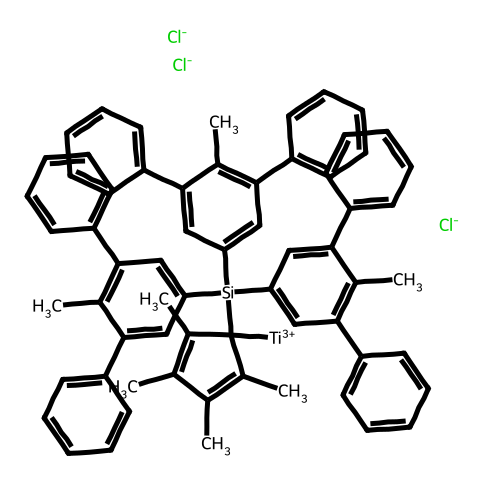 CC1=C(C)[C]([Ti+3])([Si](c2cc(-c3ccccc3)c(C)c(-c3ccccc3)c2)(c2cc(-c3ccccc3)c(C)c(-c3ccccc3)c2)c2cc(-c3ccccc3)c(C)c(-c3ccccc3)c2)C(C)=C1C.[Cl-].[Cl-].[Cl-]